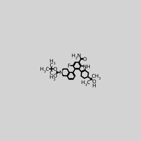 CC(C)(C)OC(=O)N1CCc2c(cccc2-c2c(F)cc(C(N)=O)c3[nH]c4c(c23)CCC(C(C)(C)O)C4)C1